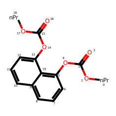 CCCOC(=O)Oc1cccc2cccc(OC(=O)OCCC)c12